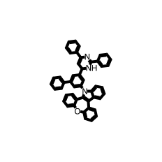 C1=C(c2ccccc2)N=C(c2ccccc2)NC1c1cc(-c2ccccc2)cc(-n2c3c(c4ccccc42)-c2ccccc2Oc2ccccc2-3)c1